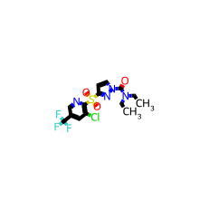 CCN(CC)C(=O)n1ccc(S(=O)(=O)c2ncc(C(F)(F)F)cc2Cl)n1